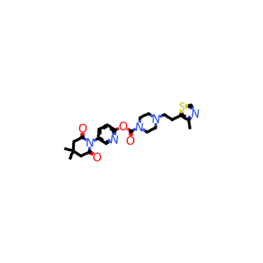 Cc1ncsc1CCN1CCN(C(=O)Oc2ccc(N3C(=O)CC(C)(C)CC3=O)cn2)CC1